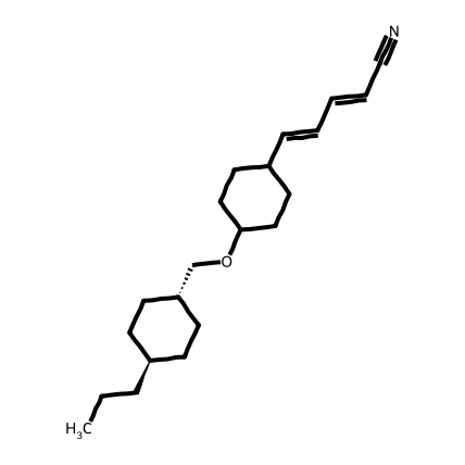 CCC[C@H]1CC[C@H](COC2CCC(C=CC=CC#N)CC2)CC1